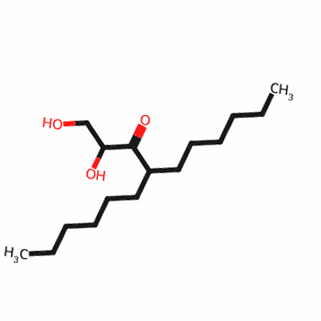 CCCCCCC(CCCCCC)C(=O)C(O)CO